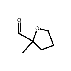 CC1(C=O)CCCO1